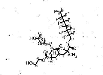 CCC(C)(CC(CC(C)(C)C(=O)OCC(F)(F)C(F)(F)C(F)(F)C(F)(F)C(F)(F)C(F)F)C(=O)OCCOP(=O)(O)O)C(=O)OCCO